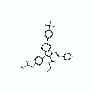 CCOC(=O)c1c(/C=C/c2ccncc2)c2cc(-c3ccc(C(F)(F)F)cn3)ccc2n1-c1ccc(OC(C)C)cc1